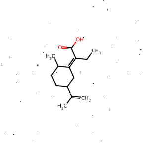 C=C(C)C1CCC(C)C(=C(CC)C(=O)O)C1